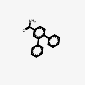 NC(=O)c1ccc(-c2ccccc2)c(-c2ccccc2)c1